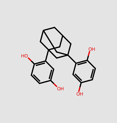 Oc1ccc(O)c(C23CC4CC(C2)CC(c2cc(O)ccc2O)(C4)C3)c1